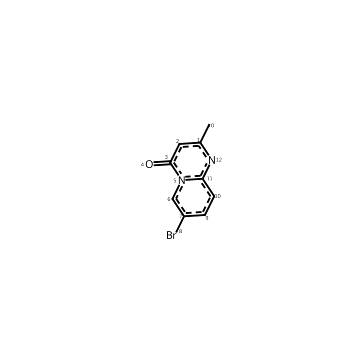 [CH2]c1cc(=O)n2cc(Br)ccc2n1